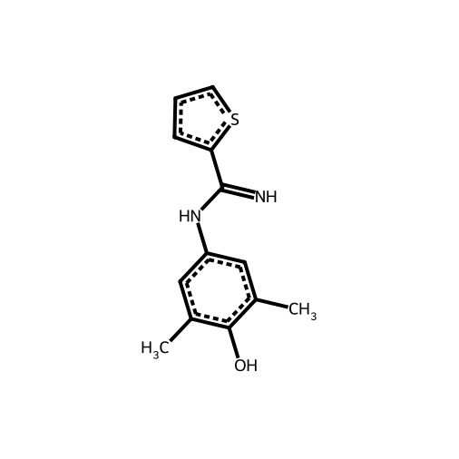 Cc1cc(NC(=N)c2cccs2)cc(C)c1O